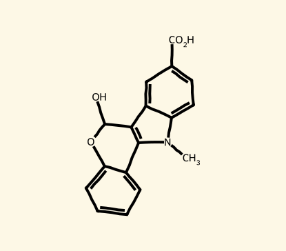 Cn1c2c(c3cc(C(=O)O)ccc31)C(O)Oc1ccccc1-2